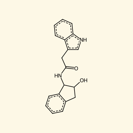 O=C(Cc1c[nH]c2ccccc12)NC1c2ccccc2CC1O